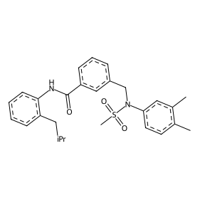 Cc1ccc(N(Cc2cccc(C(=O)Nc3ccccc3CC(C)C)c2)S(C)(=O)=O)cc1C